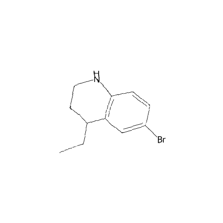 CCC1CCNc2ccc(Br)cc21